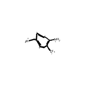 CC(C)c1ccc(N)c(C(F)(F)F)c1